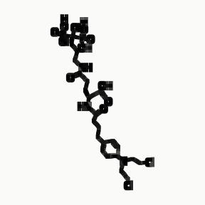 O=C(CC[C@H](NC(=O)CCCc1ccc(N(CCCl)CCCl)cc1)C(=O)O)NCCCC(O)(P(=O)(O)O)P(=O)(O)O